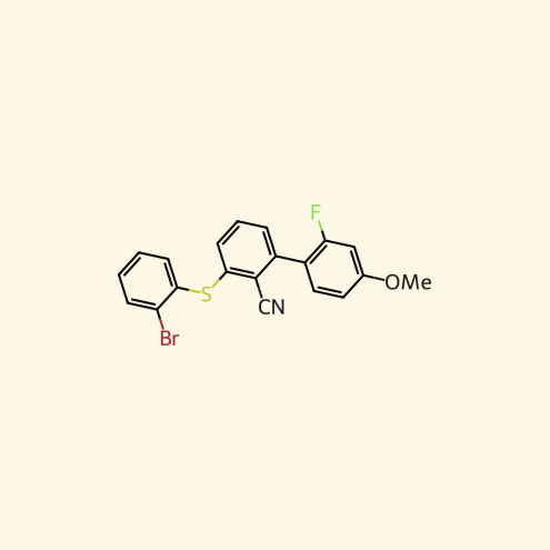 COc1ccc(-c2cccc(Sc3ccccc3Br)c2C#N)c(F)c1